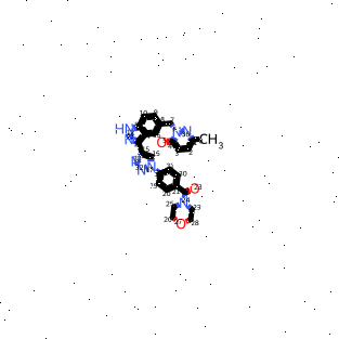 Cc1ccc(=O)n(Cc2ccc3[nH]nc(-c4cn(-c5ccc(C(=O)N6CCOCC6)cc5)nn4)c3c2)n1